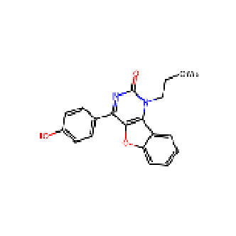 COCCn1c(=O)nc(-c2ccc(O)cc2)c2oc3ccccc3c21